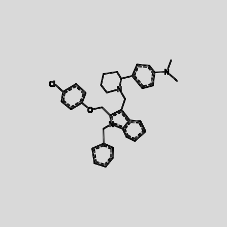 CN(C)c1ccc(C2CCCCN2Cc2c(COc3ccc(Cl)cc3)n(Cc3ccccc3)c3ccccc23)cc1